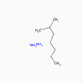 CCCCCC(C)C.N.N